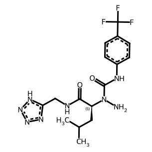 CC(C)C[C@@H](C(=O)NCc1nnn[nH]1)N(N)C(=O)Nc1ccc(C(F)(F)F)cc1